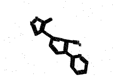 Cc1sncc1-c1ccc(-c2ccccn2)c(N)c1